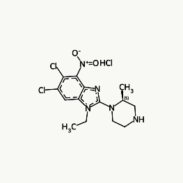 CCn1c(N2CCNC[C@@H]2C)nc2c([N+](=O)[O-])c(Cl)c(Cl)cc21.Cl